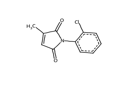 CC1=CC(=O)N(c2ccccc2Cl)C1=O